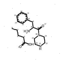 CCCCC(=O)O.NC(Cc1ccccc1)C(=O)N1CCNCC1